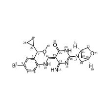 COC(c1cc(Br)ccc1N/C=C1\C(=N)N=C(N2C[C@H]3C[C@@H]2CO3)NC1=O)C1CC1